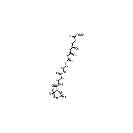 COC(=O)CCC(=O)CC(=O)CC(=O)SCCNC(=O)CCNC(=O)[C@@H]1OC(=O)OCC1(C)C